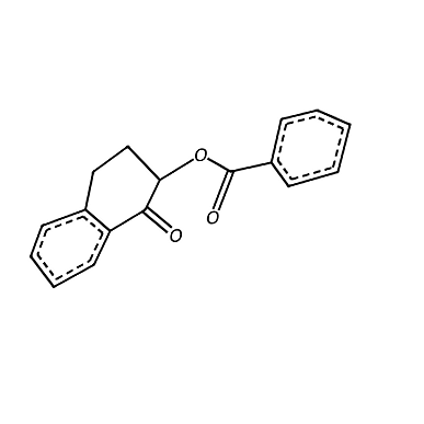 O=C(OC1CCc2ccccc2C1=O)c1ccccc1